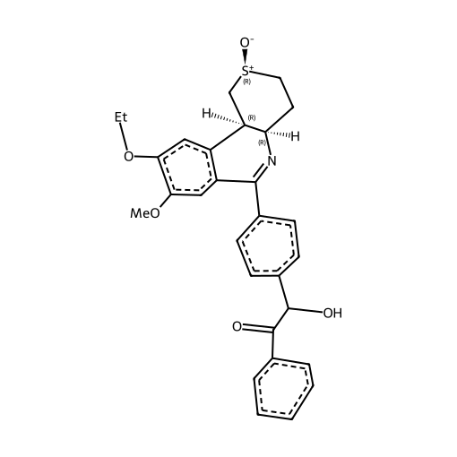 CCOc1cc2c(cc1OC)C(c1ccc(C(O)C(=O)c3ccccc3)cc1)=N[C@@H]1CC[S@+]([O-])C[C@H]21